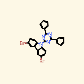 Brc1ccc2c(c1)c1cc(Br)ccc1n2-c1nc(-c2ccccc2)nc(-c2ccccc2)n1